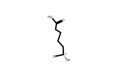 O=C(O)CCCC[C@H](O)Cl